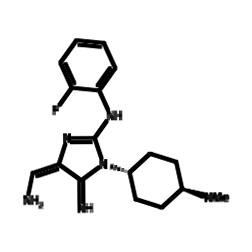 CN[C@H]1CC[C@H](N2C(=N)/C(=C\N)N=C2Nc2ccccc2F)CC1